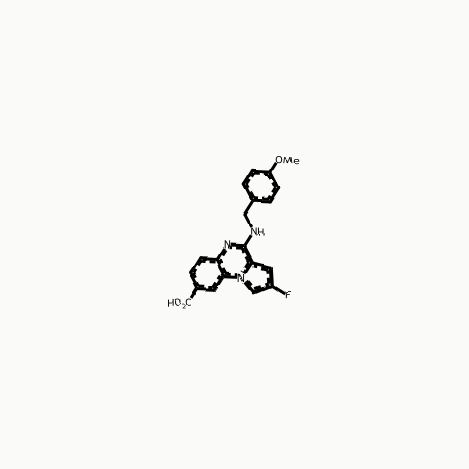 COc1ccc(CNc2nc3ccc(C(=O)O)cc3n3cc(F)cc23)cc1